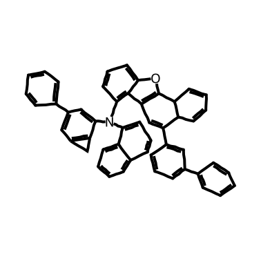 C1=CC2C(c3cccc(-c4ccccc4)c3)=Cc3c(oc4cccc(N(c5cc(-c6ccccc6)cc6c5C6)c5cccc6ccccc56)c34)C2C=C1